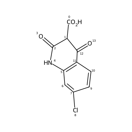 O=C(O)C1C(=O)Nc2cc(Cl)ccc2C1=O